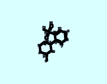 CN1CCCC(c2ncncc2S(C)(=O)=O)C1